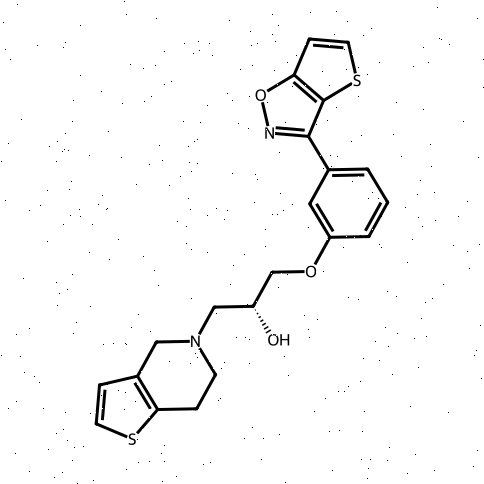 O[C@@H](COc1cccc(-c2noc3ccsc23)c1)CN1CCc2sccc2C1